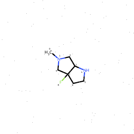 CN1CC2NCCC2(F)C1